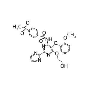 COc1ccccc1Oc1c(NS(=O)(=O)c2ccc(S(C)(=O)=O)cc2)nc(-c2ncccn2)nc1OCCO